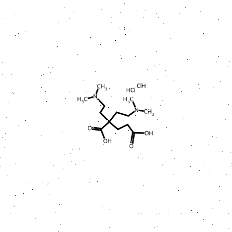 CN(C)CCC(CCC(=O)O)(CCN(C)C)C(=O)O.Cl.Cl